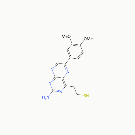 COc1ccc(-c2cnc3nc(N)nc(CCS)c3n2)cc1OC